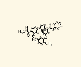 CNC(=O)c1ccc(-c2cnc3c(NCC4CCOCC4)cc(Oc4cc(F)ccc4C)nn23)cc1C